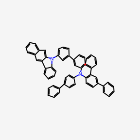 c1ccc(-c2ccc(N(c3cccc(-c4cccc(-n5c6ccccc6c6cc7ccccc7cc65)c4)c3)c3ccc(-c4ccccc4)cc3-c3ccccc3)cc2)cc1